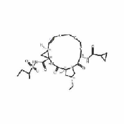 CCC(C)S(=O)(=O)NC(=O)[C@@]12C[C@H]1/C=C\CCCCC[C@H](NC(=O)C1CC1)C(=O)N1C[C@H](CC)C[C@H]1C(=O)N2